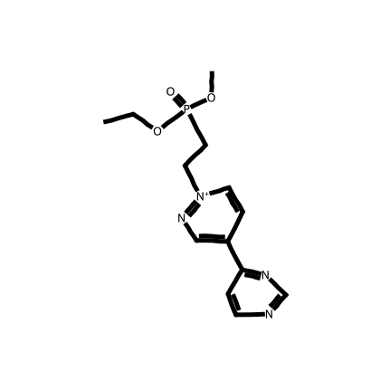 CCOP(=O)(CC[n+]1ccc(-c2ccncn2)cn1)OC